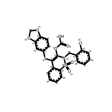 O=C(O)OC1=C(Sc2ccc3c(c2)OCO3)c2ccccc2S(=O)(=O)N1Cc1ccccc1Cl